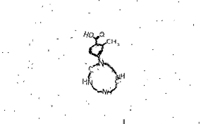 Cc1cc(N2CCCNCCNCCCNCC2)ccc1C(=O)O